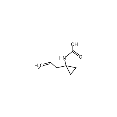 C=CCC1(NC(=O)O)CC1